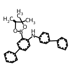 C=C1OB(c2cc(-c3ccccc3)ccc2Nc2ccc(-c3ccccc3)cc2)OC1(C)C